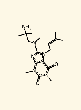 CC(C)=CCn1c(N(C)CC(C)(C)N)nc2c1c(=O)n(C)c(=O)n2C